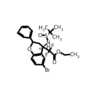 CCOC(=O)C(F)(F)[C@@]1(N[S+]([O-])C(C)(C)C)CC(c2ccccc2)Oc2ccc(Br)cc21